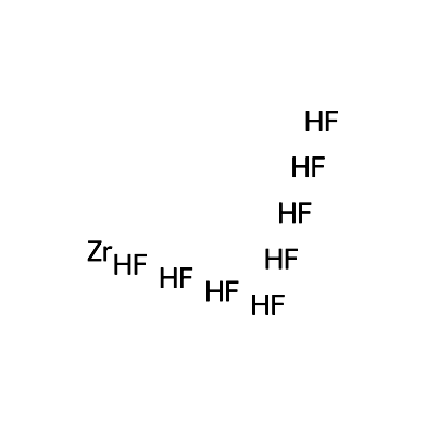 F.F.F.F.F.F.F.F.[Zr]